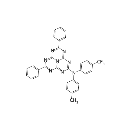 Cc1ccc(N(C2=NC3=NC(c4ccccc4)=NC4=NC(c5ccccc5)=NC(=N2)N43)c2ccc(C(F)(F)F)cc2)cc1